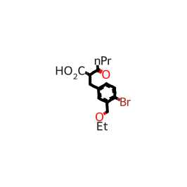 CCCC(=O)C(Cc1ccc(Br)c(COCC)c1)C(=O)O